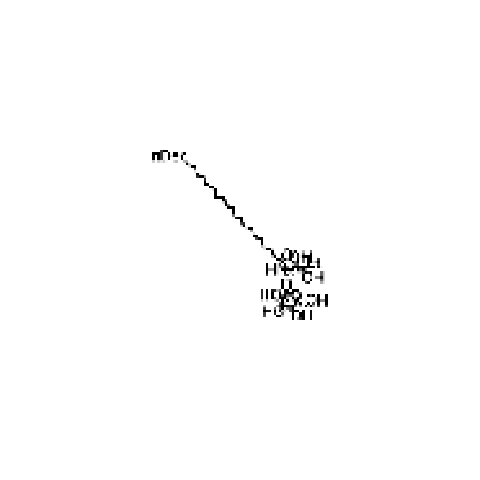 CCCCCCCCCCCCCCCCCCCCCCCCCCCCCC(=O)N[C@@H](CO[C@H]1O[C@H](CO)[C@H](O)[C@H](O)[C@H]1O)[C@H](O)[C@H](O)CC